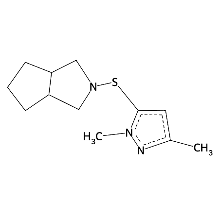 Cc1cc(SN2CC3CCCC3C2)n(C)n1